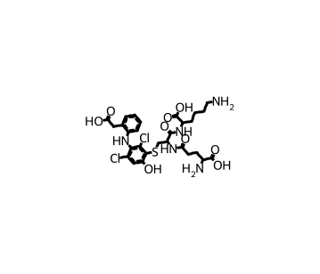 NCCCCC(NC(=O)C(CSc1c(O)cc(Cl)c(Nc2ccccc2CC(=O)O)c1Cl)NC(=O)CCC(N)C(=O)O)C(=O)O